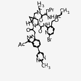 C=CCOCc1ccc(Br)nc1NC(=O)[C@@H]1C[C@@]2(CN(C)C(=O)[C@@H](CCC)NC(C)=O)C[C@H]2N1C(=O)Cn1nc(C(C)=O)c2cc(-c3cnc(C)nc3)ccc21